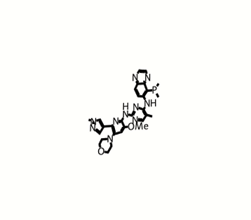 COc1cc(N2CCOCC2)c(-c2cnn(C)c2)nc1Nc1ncc(C)c(Nc2ccc3nccnc3c2P(C)C)n1